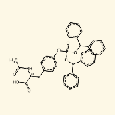 CC(=O)N[C@@H](Cc1ccc(OP(=O)(OC(c2ccccc2)c2ccccc2)OC(c2ccccc2)c2ccccc2)cc1)C(=O)O